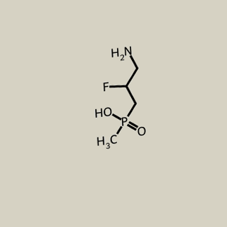 CP(=O)(O)CC(F)CN